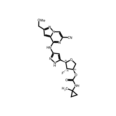 COCc1cc2c(Nc3cc([C@H]4OC[C@@H](OC(=O)NC5(C)CC5)[C@@H]4F)[nH]n3)nc(C#N)cn2n1